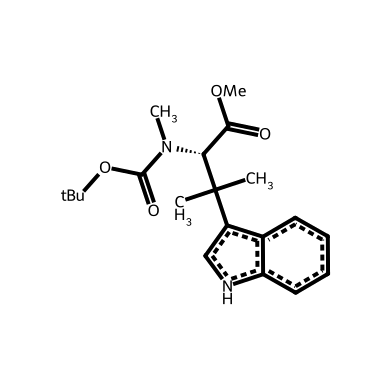 COC(=O)[C@@H](N(C)C(=O)OC(C)(C)C)C(C)(C)c1c[nH]c2ccccc12